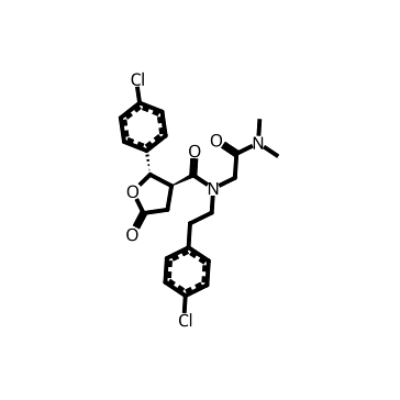 CN(C)C(=O)CN(CCc1ccc(Cl)cc1)C(=O)[C@H]1CC(=O)O[C@@H]1c1ccc(Cl)cc1